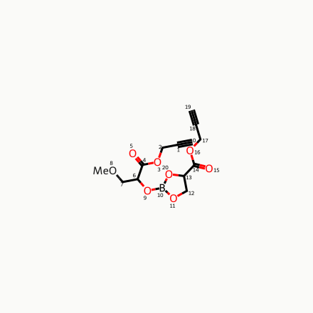 C#CCOC(=O)C(COC)OB1OCC(C(=O)OCC#C)O1